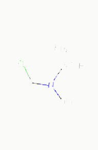 Br.CCCN(CCl)S(=O)(=O)O